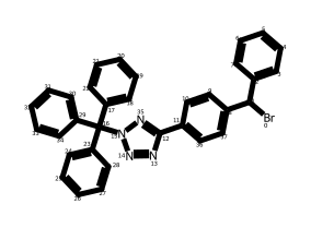 BrC(c1ccccc1)c1ccc(-c2nnn(C(c3ccccc3)(c3ccccc3)c3ccccc3)n2)cc1